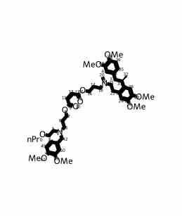 CCCOCCN(CCCOC(=O)/C=C\C(=O)OCCCN(C)CCc1cc(OC)c(OC)cc1[C@H](C)Cc1ccc(OC)c(OC)c1)Cc1ccc(OC)c(OC)c1